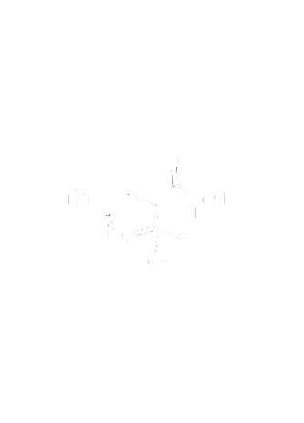 O=C(O)CC(C(=O)O)S(=O)(=O)O.[CH]